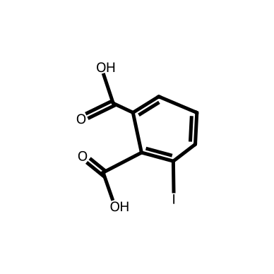 O=C(O)c1cccc(I)c1C(=O)O